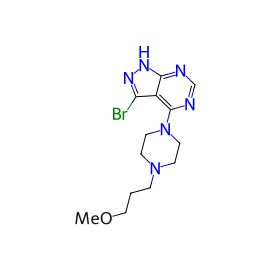 COCCCN1CCN(c2ncnc3[nH]nc(Br)c23)CC1